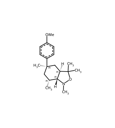 COc1ccc([C@]2(C)C[C@@H](C)[C@@H]3[C@@H](C2)C(C)(C)ON3C)cc1